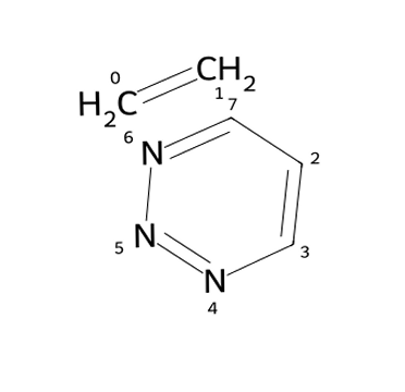 C=C.c1cnnnc1